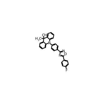 CC1(C)c2ccccc2N(c2ccc(-c3noc(-c4ccc(F)cc4)n3)cc2)c2ccccc21